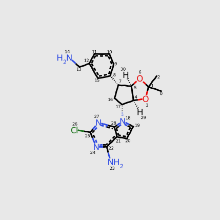 CC1(C)O[C@@H]2[C@H](O1)[C@@H](c1cccc(CN)c1)C[C@H]2n1ccc2c(N)nc(Cl)nc21